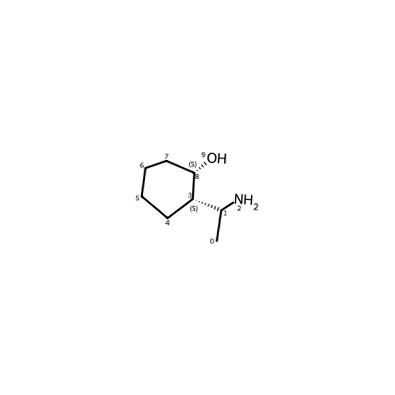 CC(N)[C@@H]1CCCC[C@@H]1O